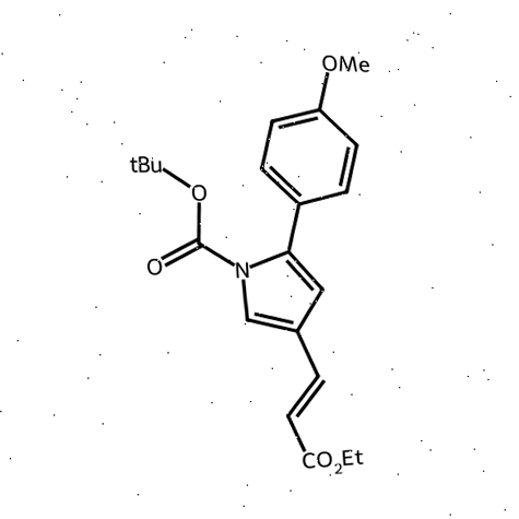 CCOC(=O)C=Cc1cc(-c2ccc(OC)cc2)n(C(=O)OC(C)(C)C)c1